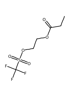 CCC(=O)OCCOS(=O)(=O)C(F)(F)F